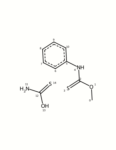 COC(=S)Nc1ccccc1.NC(O)=S